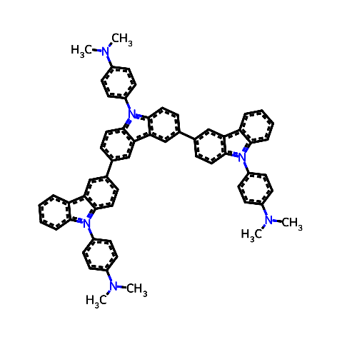 CN(C)c1ccc(-n2c3ccccc3c3cc(-c4ccc5c(c4)c4cc(-c6ccc7c(c6)c6ccccc6n7-c6ccc(N(C)C)cc6)ccc4n5-c4ccc(N(C)C)cc4)ccc32)cc1